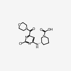 O=C(O)N1CCC[C@H](Nc2cc(C(=O)N3CCOCC3)nc(Cl)n2)C1